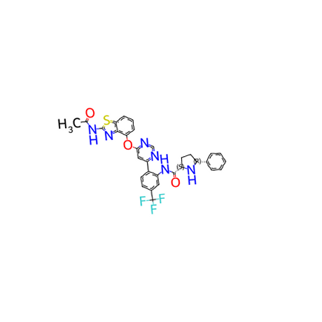 CC(=O)Nc1nc2c(Oc3cc(-c4ccc(C(F)(F)F)cc4NC(=O)[C@@H]4CC[C@H](c5ccccc5)N4)ncn3)cccc2s1